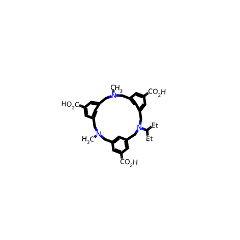 CCC(CC)N1Cc2cc(cc(C(=O)O)c2)CN(C)Cc2cc(cc(C(=O)O)c2)CN(C)Cc2cc(cc(C(=O)O)c2)C1